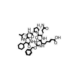 CC(C)C[C@H](NC(=O)[C@@H]1CCCN1C(=O)[C@H](CCC(N)=O)NC(=O)C(CCC=CC(=O)O)NC(=O)OCc1ccccc1)C(=O)N[C@H](C(N)=O)C1CCCCC1